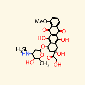 COc1cccc2c1C(=O)c1c(O)c3c(c(O)c1C2=O)C[C@@](O)(C(=O)CO)C[C@@H]3OC1CC(N[SiH3])C(O)C(C)O1